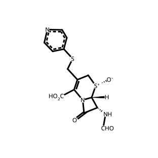 O=CN[C@@H]1C(=O)N2C(C(=O)O)=C(CSc3ccncc3)C[S@+]([O-])[C@H]12